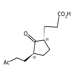 CC(=O)CC[C@@H]1CC[C@@H](CCC(=O)O)C1=O